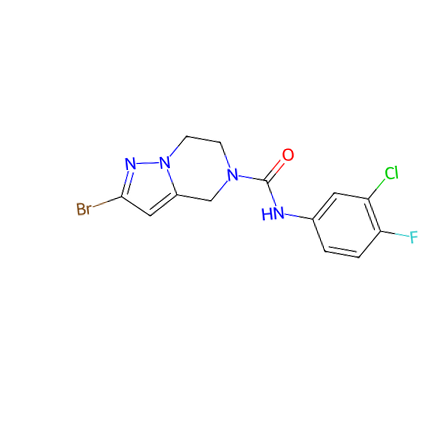 O=C(Nc1ccc(F)c(Cl)c1)N1CCn2nc(Br)cc2C1